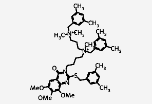 COc1cc2c(=O)n(CCCC[N+](C)(CCC[N+](C)(C)Cc3cc(C)cc(C)c3)Cc3cc(C)cc(C)c3)c(SCc3cc(C)cc(C)c3)nc2c(OC)c1OC